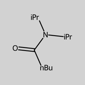 CCCCC(=O)N(C(C)C)C(C)C